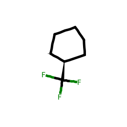 FC(F)(F)[C@H]1[CH]CCCC1